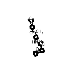 CN(C(=O)c1ccc(N2CCOCC2)cc1)c1ccc(Nc2cc(-c3cccc4c3oc3ccccc34)ncn2)cc1